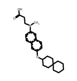 CN(CCC(=O)O)c1ccc2cc(OC3CCC4(CCCCC4)CC3)ccc2c1